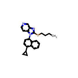 CCCCSc1nc2cnccc2n1-c1ccc(C2CC2)c2ccccc12